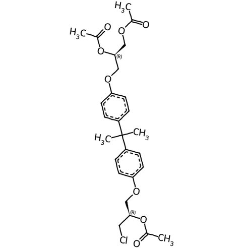 CC(=O)OC[C@@H](COc1ccc(C(C)(C)c2ccc(OC[C@H](CCl)OC(C)=O)cc2)cc1)OC(C)=O